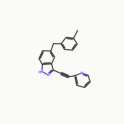 Cc1cccc(Cc2ccc3[nH]nc(C#Cc4ccccn4)c3c2)c1